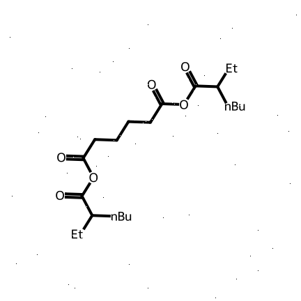 CCCCC(CC)C(=O)OC(=O)CCCCC(=O)OC(=O)C(CC)CCCC